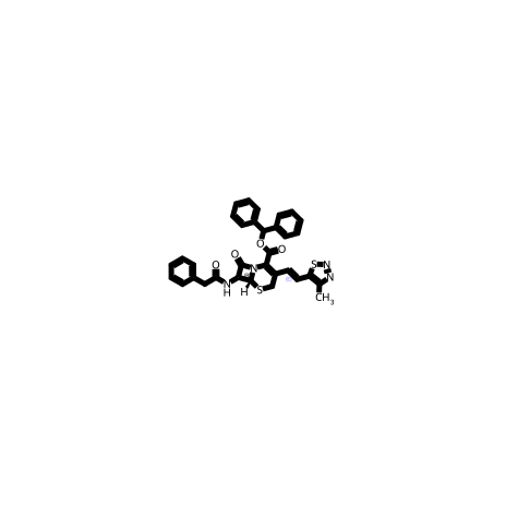 Cc1nnsc1/C=C/C1=C(C(=O)OC(c2ccccc2)c2ccccc2)N2C(=O)C(NC(=O)Cc3ccccc3)[C@H]2SC1